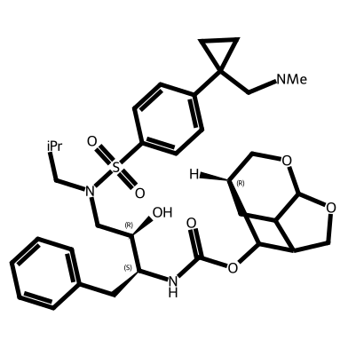 CNCC1(c2ccc(S(=O)(=O)N(CC(C)C)C[C@@H](O)[C@H](Cc3ccccc3)NC(=O)OC3C4COC5OC[C@H]3CC54)cc2)CC1